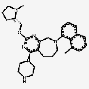 Cc1cccc2cccc(N3CCCc4c(nc(OC[C@@H]5CCCN5C)nc4N4CCNCC4)C3)c12